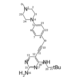 CN1CCN(c2ccc(CC#Cc3cnc(N)nc3NCC(C)(C)C)cc2)CC1